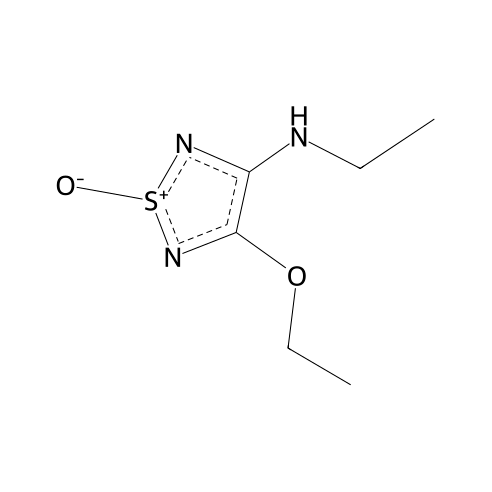 CCNc1n[s+]([O-])nc1OCC